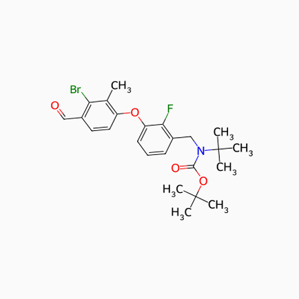 Cc1c(Oc2cccc(CN(C(=O)OC(C)(C)C)C(C)(C)C)c2F)ccc(C=O)c1Br